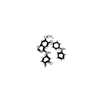 COc1cc2ncnc(Nc3ccc(F)c(Cl)c3)c2cc1O[C@H]1CC[C@H](Nc2ccccc2)CC1